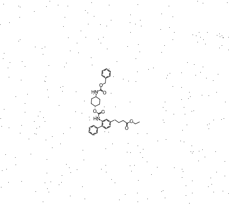 CCOC(=O)CCCc1ccc(-c2ccccc2)c(NC(=O)O[C@H]2CC[C@H](NC(=O)OCc3ccccc3)CC2)c1